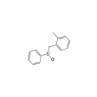 Cc1ccccc1C[S+]([O-])c1ccccc1